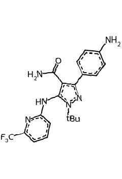 CC(C)(C)n1nc(-c2ccc(N)cc2)c(C(N)=O)c1Nc1cccc(C(F)(F)F)n1